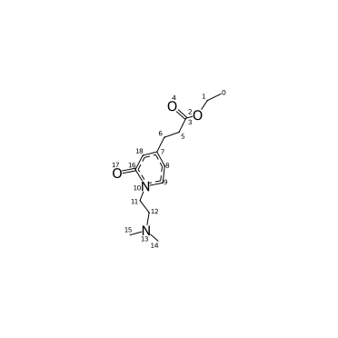 CCOC(=O)CCc1ccn(CCN(C)C)c(=O)c1